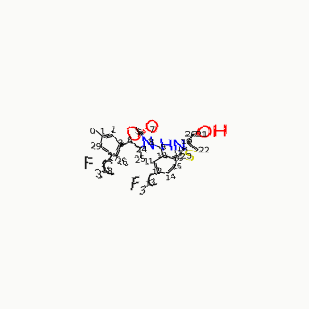 Cc1cc([C@H]2OC(=O)N(Cc3cc(C(F)(F)F)ccc3C3NC(CO)=CS3)[C@H]2C)cc(C(F)(F)F)c1